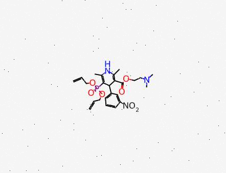 C=CCOP(=O)(OCC=C)C1=C(C)NC(C)=C(C(=O)OCCN(C)C)C1c1cccc([N+](=O)[O-])c1